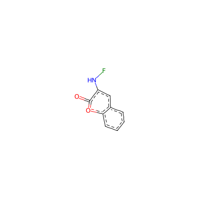 O=c1oc2ccccc2cc1NF